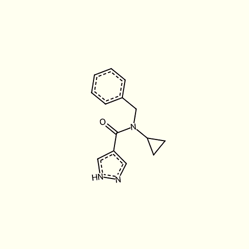 O=C(c1cn[nH]c1)N(Cc1ccccc1)C1CC1